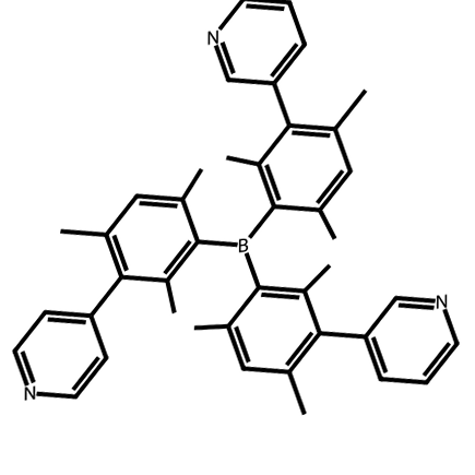 Cc1cc(C)c(-c2ccncc2)c(C)c1B(c1c(C)cc(C)c(-c2cccnc2)c1C)c1c(C)cc(C)c(-c2cccnc2)c1C